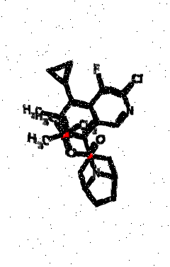 Cc1nc(N2CC3CCC(C2)N3C(=O)OC(C)(C)C)c2cnc(Cl)c(F)c2c1C1CC1